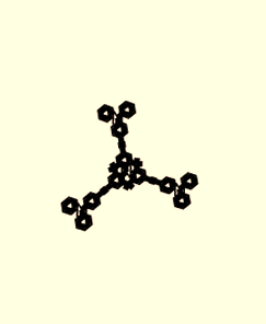 CC1(C)c2cc(C#Cc3ccc(N(c4ccccc4)c4ccccc4)cc3)cc3c2N2c4c1cc(C#Cc1ccc(N(c5ccccc5)c5ccccc5)cc1)cc4C(C)(C)c1cc(C#Cc4ccc(N(c5ccccc5)c5ccccc5)cc4)cc(c12)C3(C)C